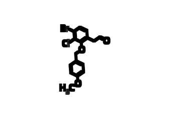 COc1ccc(COc2c(CC=O)ccc(Br)c2Cl)cc1